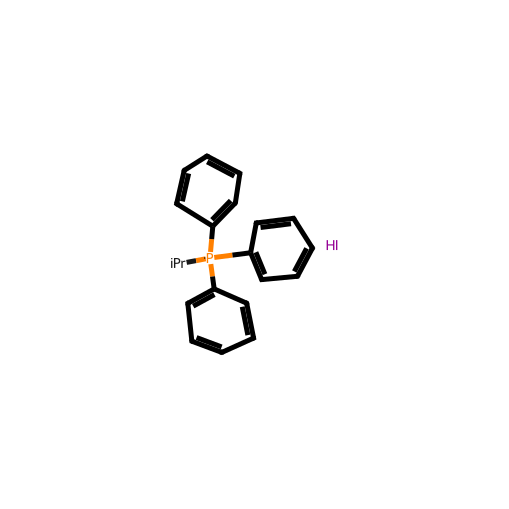 CC(C)[P](c1ccccc1)(c1ccccc1)c1ccccc1.I